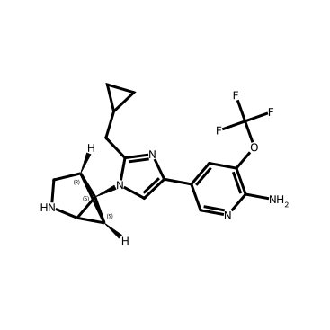 Nc1ncc(-c2cn([C@@]34C5NC[C@H]3[C@@H]54)c(CC3CC3)n2)cc1OC(F)(F)F